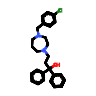 OC(CCN1CCCN(Cc2ccc(Cl)cc2)CC1)(c1ccccc1)c1ccccc1